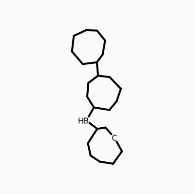 B(C1CCCCCCC1)C1CCCCC(C2CCCCCCC2)CC1